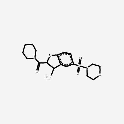 CC1c2cc(S(=O)(=O)N3CCOCC3)ccc2OC1C(=O)N1CCCCC1